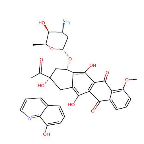 COc1cccc2c1C(=O)c1c(O)c3c(c(O)c1C2=O)C[C@@](O)(C(C)=O)C[C@@H]3O[C@H]1C[C@H](N)[C@H](O)[C@H](C)O1.Oc1cccc2cccnc12